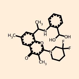 Cc1cc(C(C)Nc2ccccc2C(O)O)c2oc(N3CCCC(F)(F)C3)c(C)c(=O)c2c1